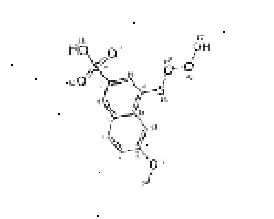 COc1ccc2cc(S(=O)(=O)O)cc(SOOO)c2c1